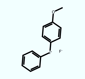 COc1ccc([I+]c2ccccc2)cc1.[F-]